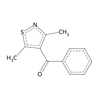 Cc1nsc(C)c1C(=O)c1ccccc1